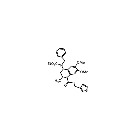 CCOC(=O)N(Cc1ccccc1)C1CC(C)N(C(=O)OCc2ccsc2)c2cc(OC)c(OC)cc21